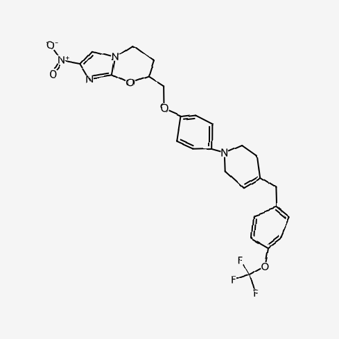 O=[N+]([O-])c1cn2c(n1)OC(COc1ccc(N3CC=C(Cc4ccc(OC(F)(F)F)cc4)CC3)cc1)CC2